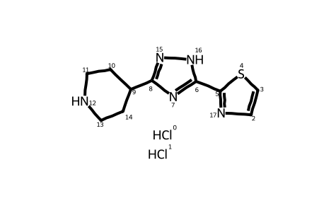 Cl.Cl.c1csc(-c2nc(C3CCNCC3)n[nH]2)n1